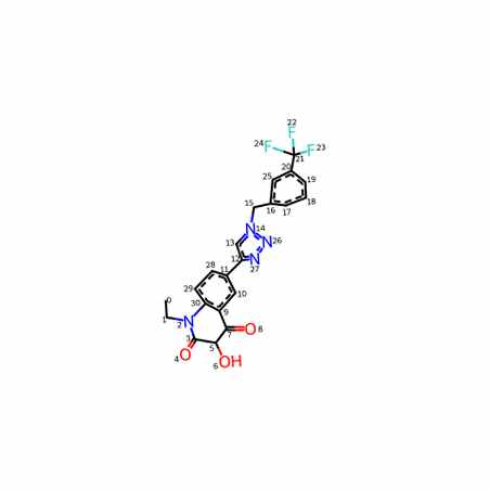 CCN1C(=O)C(O)C(=O)c2cc(-c3cn(Cc4cccc(C(F)(F)F)c4)nn3)ccc21